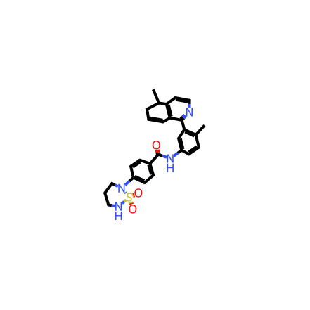 Cc1ccc(NC(=O)c2ccc(N3CCCNS3(=O)=O)cc2)cc1-c1nccc2c1C=CCC2C